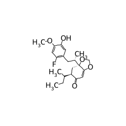 CCC(C)[C@H]1C[C@]2([C@@H](C)Cc3cc(O)c(OC)cc3F)OCOC2=CC1=O